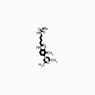 Cc1c(N2C[C@@H](C)O[C@@H](C)C2)ccc(NC(=O)CCCCNS(=O)(=O)C(C)(C)C)c1F